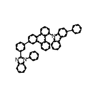 c1ccc(-c2ccc3c(c2)c2ccccc2n3-c2cccc3c4ccc(-c5cccc(-c6nc7ccccc7n6-c6ccccc6)c5)cc4c4ccccc4c23)cc1